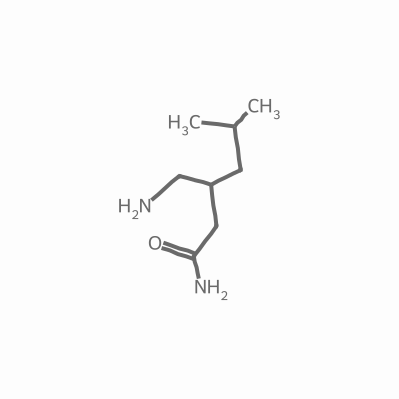 CC(C)CC(CN)CC(N)=O